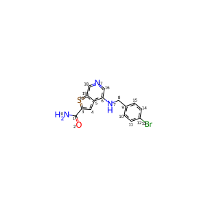 NC(=O)c1cc2c(NCc3ccc(Br)cc3)cncc2s1